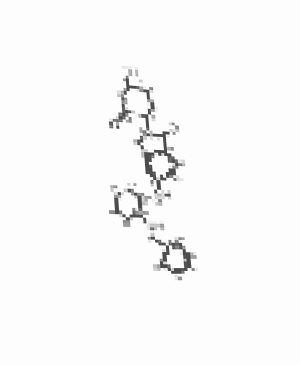 C=C1CCC(N2Cc3cc(N[C@H]4CCCC[C@@H]4NCc4ccccc4)ccc3C2=O)C(=O)N1